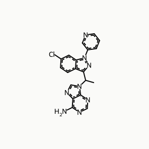 CC(c1nn(-c2cccnc2)c2cc(Cl)ccc12)n1cnc2c(N)ncnc21